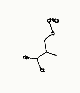 CCCC(CC)C(C)COC=O